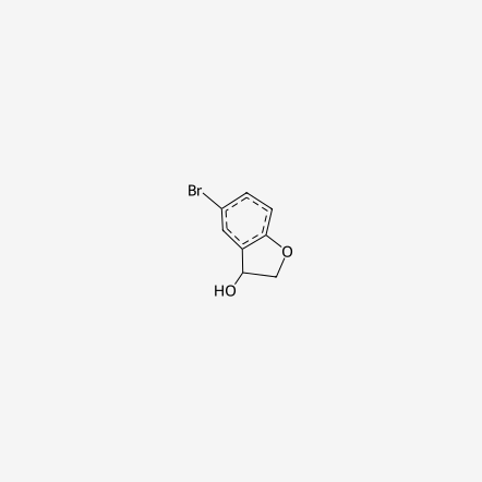 OC1COc2ccc(Br)cc21